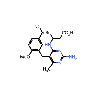 CCCCC(CC(=O)O)Nc1nc(N)nc(C)c1Cc1cc(CC#N)ccc1OC